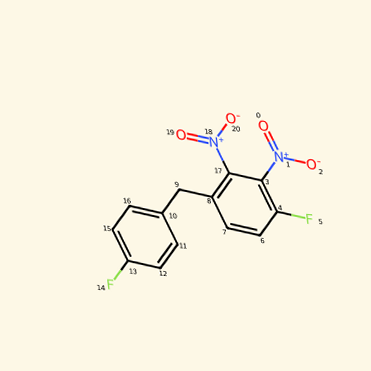 O=[N+]([O-])c1c(F)ccc(Cc2ccc(F)cc2)c1[N+](=O)[O-]